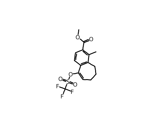 COC(=O)c1ccc2c(c1C)CCCC=C2OS(=O)(=O)C(F)(F)F